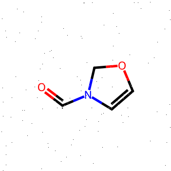 O=[C]N1C=COC1